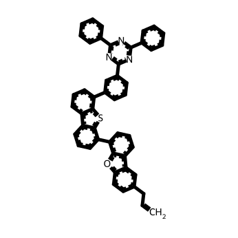 C=CCc1ccc2oc3c(-c4cccc5c4sc4c(-c6cccc(-c7nc(-c8ccccc8)nc(-c8ccccc8)n7)c6)cccc45)cccc3c2c1